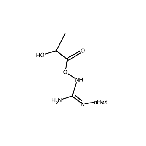 CCCCCCN=C(N)NOC(=O)C(C)O